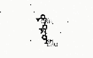 Cc1c(C)n(Cc2cccc(N[C@@H](C)C=O)c2)c2ccc(C(=O)N[C@@H](C)c3cccc(C4CC4)c3)cc12